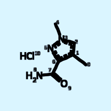 Cc1cn(C)nc1C(N)=O.Cl